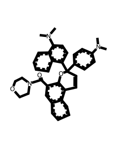 CN(C)c1ccc(C2(c3ccc(N(C)C)c4ccccc34)C=Cc3c(c(C(=O)N4CCOCC4)cc4ccccc34)O2)cc1